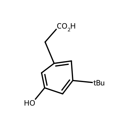 CC(C)(C)c1cc(O)cc(CC(=O)O)c1